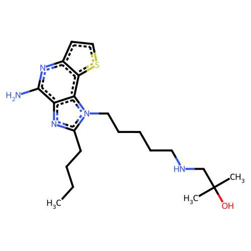 CCCCc1nc2c(N)nc3ccsc3c2n1CCCCCNCC(C)(C)O